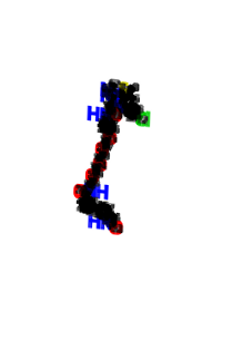 Cc1sc2c(c1C)C(c1ccc(Cl)cc1)=NC(CC(=O)Nc1ccc(OCCOCCOCCOCCNC(=O)c3cccc(-c4ccc5c(c4)NC(=O)C5)c3)cc1)c1nnc(C)n1-2